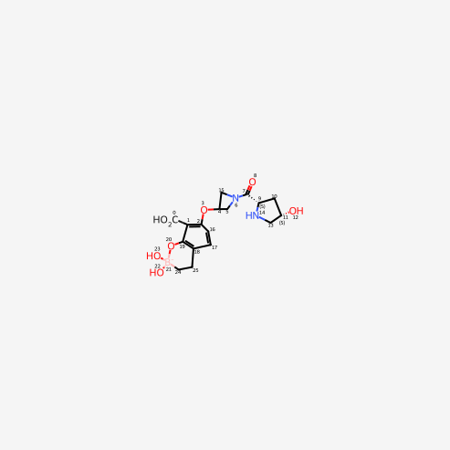 O=C(O)c1c(OC2CN(C(=O)[C@@H]3C[C@H](O)CN3)C2)ccc2c1O[B-](O)(O)CC2